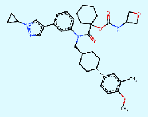 COc1ccc([C@H]2CC[C@H](CN(C(=O)C3(OC(=O)NC4COC4)CCCCC3)c3cccc(-c4cnn(C5CC5)c4)c3)CC2)cc1C